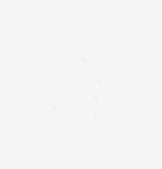 NCc1ccccc1-c1csc(NC(=O)c2cc([N+](=O)[O-])ccc2Cl)n1